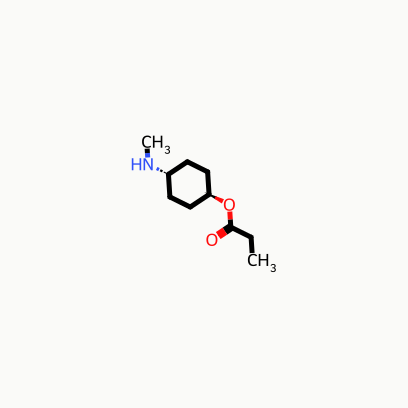 CCC(=O)O[C@H]1CC[C@H](NC)CC1